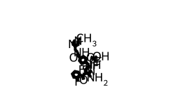 Cn1cnc(CNC(=O)c2ccc(Nc3nc(N)c(C(=O)c4c(F)cccc4F)s3)cc2)c1.O=C(O)C(F)(F)F